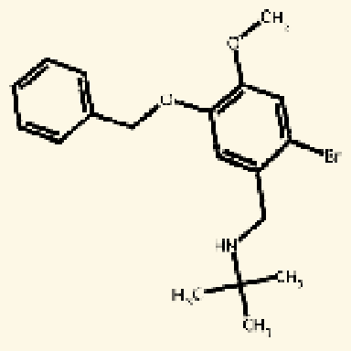 COc1cc(Br)c(CNC(C)(C)C)cc1OCc1ccccc1